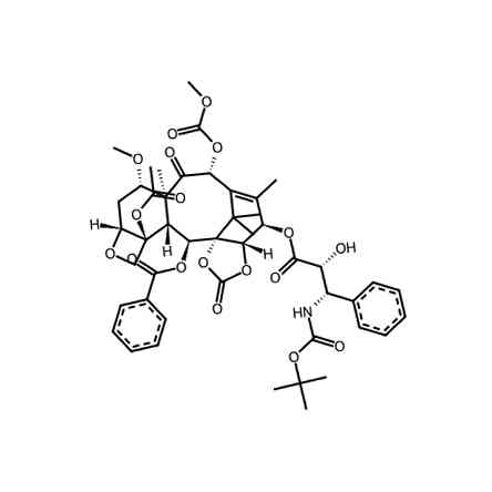 COC(=O)O[C@H]1C(=O)[C@]2(C)[C@@H](OC)C[C@H]3OC[C@@]3(OC(C)=O)[C@H]2[C@H](OC(=O)c2ccccc2)[C@]23OC(=O)O[C@H]2[C@H](OC(=O)[C@H](O)[C@@H](NC(=O)OC(C)(C)C)c2ccccc2)C(C)=C1C3(C)C